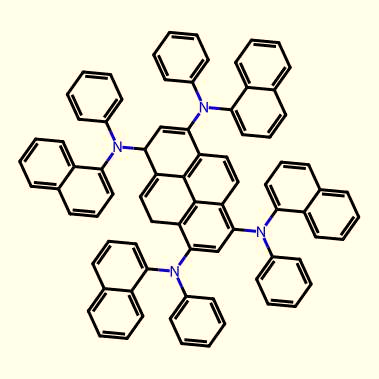 C1=C2c3c(ccc4c(N(c5ccccc5)c5cccc6ccccc56)cc(N(c5ccccc5)c5cccc6ccccc56)c(c34)C1)C(N(c1ccccc1)c1cccc3ccccc13)=CC2N(c1ccccc1)c1cccc2ccccc12